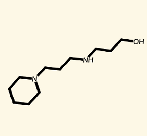 OCCCNCCCN1CCCCC1